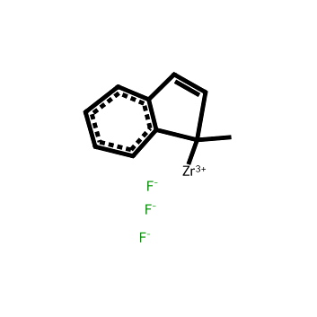 C[C]1([Zr+3])C=Cc2ccccc21.[F-].[F-].[F-]